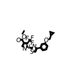 CCOC(=O)c1cnn(-c2nc(-c3cccc(OCC4CC4)c3)cs2)c1C(F)(F)F